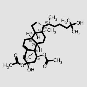 CC(=O)O[C@H]1C[C@](O)(OC(C)=O)CC2=CC[C@H]3[C@@H]4CC[C@H]([C@H](C)CCCC(C)(C)O)[C@@]4(C)CC[C@@H]3[C@]21C